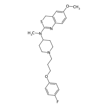 COc1ccc2c(c1)CSC(N(C)C1CCN(CCCOc3ccc(F)cc3)CC1)=N2